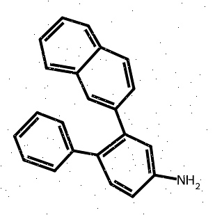 Nc1ccc(-c2ccccc2)c(-c2ccc3ccccc3c2)c1